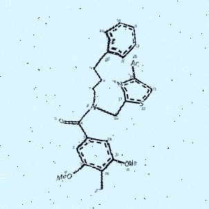 COc1cc(C(=O)N(CCCc2ccccc2)Cc2nc(C(C)=O)cs2)cc(OC)c1C